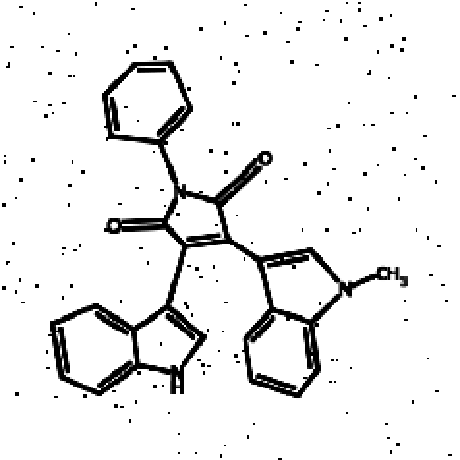 Cn1cc(C2=C(c3c[nH]c4ccccc34)C(=O)N(c3ccccc3)C2=O)c2ccccc21